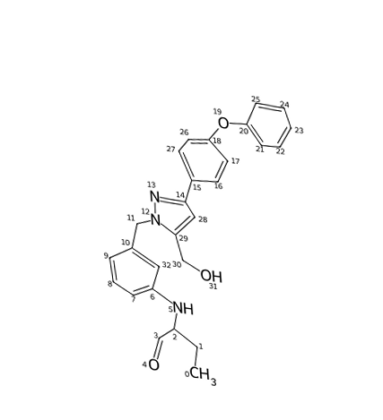 CCC(C=O)Nc1cccc(Cn2nc(-c3ccc(Oc4ccccc4)cc3)cc2CO)c1